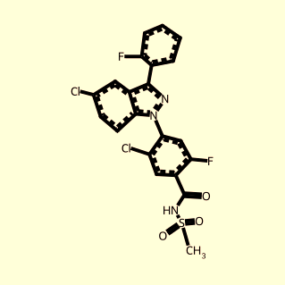 CS(=O)(=O)NC(=O)c1cc(Cl)c(-n2nc(-c3ccccc3F)c3cc(Cl)ccc32)cc1F